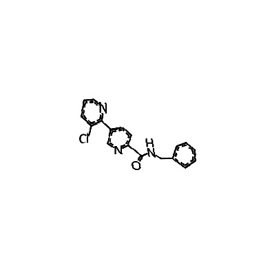 O=C(NCc1ccccc1)c1ccc(-c2ncccc2Cl)cn1